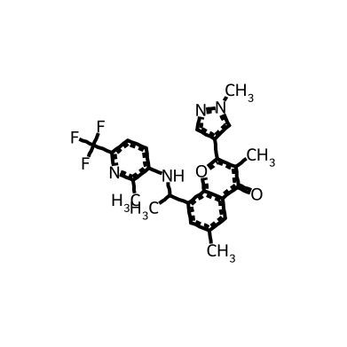 Cc1cc(C(C)Nc2ccc(C(F)(F)F)nc2C)c2oc(-c3cnn(C)c3)c(C)c(=O)c2c1